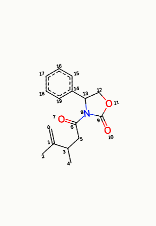 C=C(C)C(C)CC(=O)N1C(=O)OCC1c1ccccc1